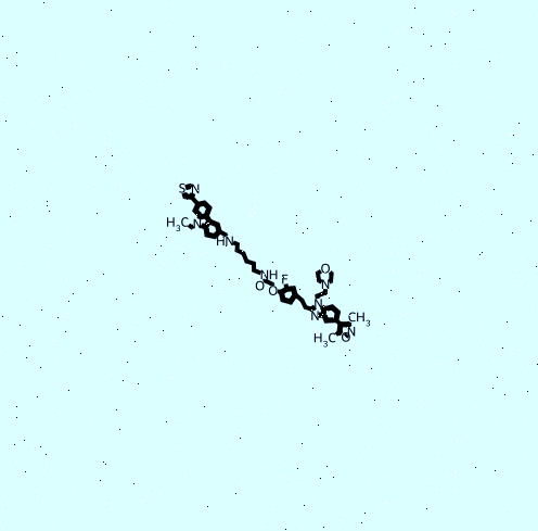 CCn1c2ccc(CNCCCCCCNC(=O)COc3ccc(CCc4nc5cc(-c6c(C)noc6C)ccc5n4CCN4CCOCC4)cc3F)cc2c2ccc(-c3cscn3)cc21